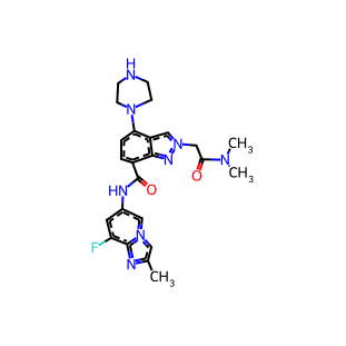 Cc1cn2cc(NC(=O)c3ccc(N4CCNCC4)c4cn(CC(=O)N(C)C)nc34)cc(F)c2n1